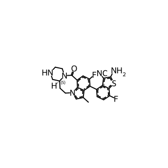 Cc1cn2c3c(cc(F)c(-c4ccc(F)c5sc(N)c(C#N)c45)c13)C(=O)N1CCNC[C@@H]1CC2